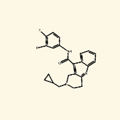 O=C(Nc1ccc(F)c(F)c1)c1c2c(nc3ccccc13)CCN(CC1CC1)C2